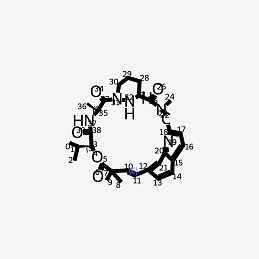 CC(C)[C@@H]1OC(=O)C(C)(C)/C=C/c2ccc3ccc(nc3c2)CN(C)C(=O)[C@@H]2CCCN(N2)C(=O)[C@H](C)NC1=O